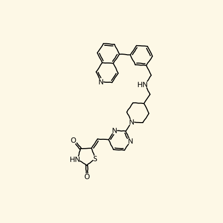 O=C1NC(=O)/C(=C/c2ccnc(N3CCC(CNCc4cccc(-c5cccc6cnccc56)c4)CC3)n2)S1